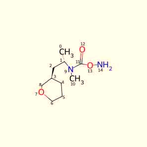 C[C@@H](C[C@H]1CCCOC1)N(C)C(=O)ON